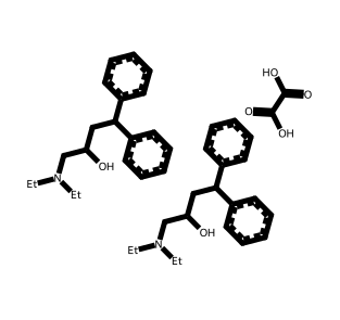 CCN(CC)CC(O)CC(c1ccccc1)c1ccccc1.CCN(CC)CC(O)CC(c1ccccc1)c1ccccc1.O=C(O)C(=O)O